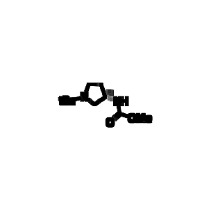 COC(=O)N[C@H]1CCN(C(C)(C)C)C1